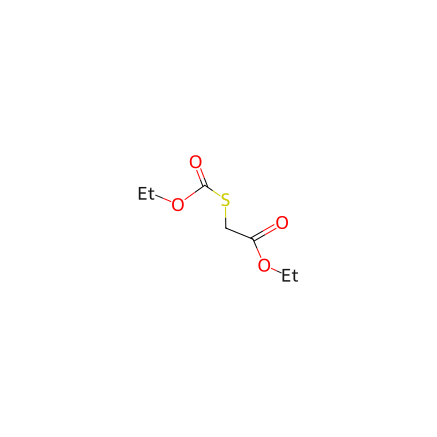 CCOC(=O)CSC(=O)OCC